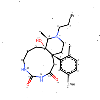 COc1ccc(C)c([C@]23CCN(CCC(C)C)[C@H](C)[C@]2(O)CCCNC(=O)NC(=O)C3)c1